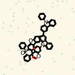 O=P1(c2ccccc2)c2ccccc2C2(c3ccccc3Oc3cc(-n4c5ccccc5c5cc(-c6ccc7c(c6)c6ccccc6n7-c6ccccc6)ccc54)ccc32)c2cc3c(cc21)oc1ccccc13